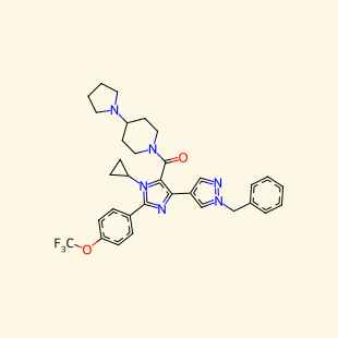 O=C(c1c(-c2cnn(Cc3ccccc3)c2)nc(-c2ccc(OC(F)(F)F)cc2)n1C1CC1)N1CCC(N2CCCC2)CC1